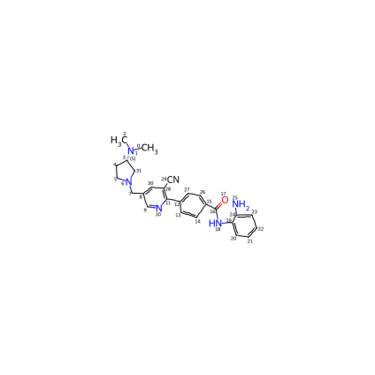 CN(C)[C@H]1CCN(Cc2cnc(-c3ccc(C(=O)Nc4ccccc4N)cc3)c(C#N)c2)C1